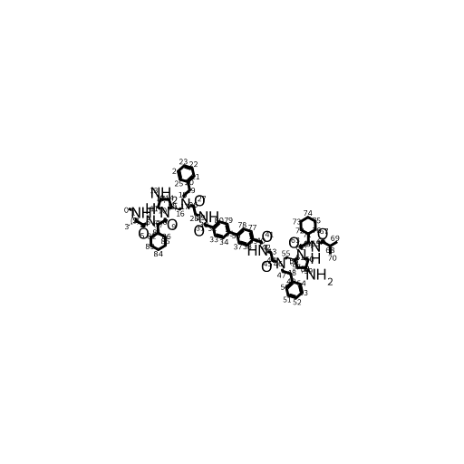 CN[C@@H](C)C(=O)N[C@H](C(=O)N1C[C@@H](N)C[C@H]1CN(CCc1ccccc1)C(=O)CNC(=O)c1ccc(-c2ccc(C(=O)NCC(=O)N(CCc3ccccc3)C[C@@H]3C[C@H](N)CN3C(=O)[C@@H](NC(=O)C(C)C)C3CCCCC3)cc2)cc1)C1CCCCC1